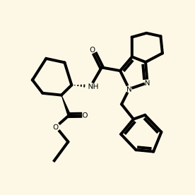 CCOC(=O)[C@H]1CCCC[C@@H]1NC(=O)c1c2c(nn1Cc1ccccc1)CCCC2